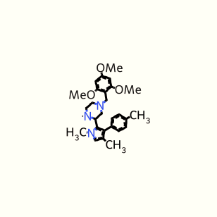 COc1cc(OC)c(CN2CC[N]C(c3c(-c4ccc(C)cc4)c(C)cn3C)C2)c(OC)c1